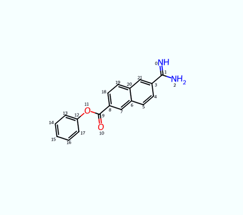 N=C(N)c1ccc2cc(C(=O)Oc3ccccc3)ccc2c1